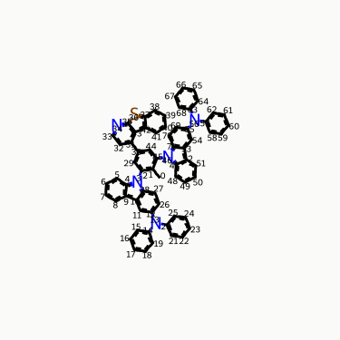 Cc1c(-n2c3ccccc3c3cc(N(c4ccccc4)c4ccccc4)ccc32)cc(-c2ccnc3sc4ccccc4c23)cc1-n1c2ccccc2c2cc(N(c3ccccc3)c3ccccc3)ccc21